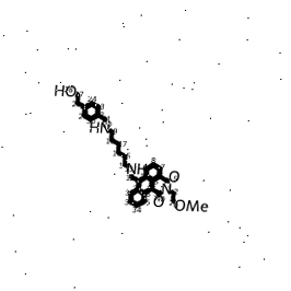 COCCN1C(=O)c2cccc3c(CNCCCCCCNCc4ccc(CCO)cc4)c4ccccc4c(c23)C1=O